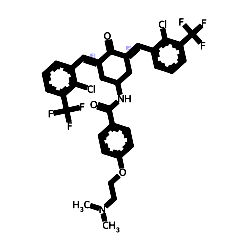 CN(C)CCOc1ccc(C(=O)NC2C/C(=C\c3cccc(C(F)(F)F)c3Cl)C(=O)/C(=C/c3cccc(C(F)(F)F)c3Cl)C2)cc1